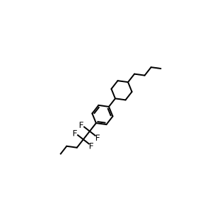 CCCCC1CCC(c2ccc(C(F)(F)C(F)(F)CCC)cc2)CC1